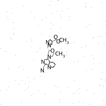 COC(=O)c1cnn(C[C@H]2CN(c3cnc(C#N)c4ncccc34)C[C@@H](C)O2)c1